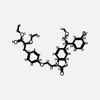 CCOC(=O)C(Cc1ccc(OCCn2c(=O)sc3cc(C(=NOC)c4cccc(Br)c4)ccc32)cc1)OCC